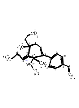 C=Cc1ccc(C2=CCC(C)(CC)/C(=C\CC)C2(C)NN)cc1